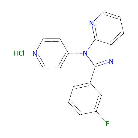 Cl.Fc1cccc(-c2nc3cccnc3n2-c2ccncc2)c1